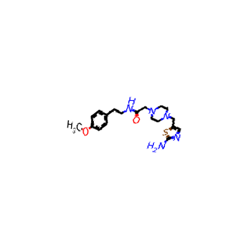 COc1ccc(CCNC(=O)CN2CCN(Cc3cnc(N)s3)CC2)cc1